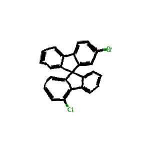 Clc1cccc2c1-c1ccccc1C21c2ccccc2-c2ccc(Br)cc21